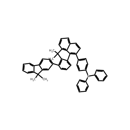 CC1(C)c2ccccc2-c2ccc(-c3cccc4c3C(C)(C)c3cccc5ccc(-c6ccc(N(c7ccccc7)c7ccccc7)cc6)c-4c35)cc21